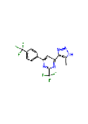 Cc1[nH]nnc1-c1cc(-c2ccc(C(F)(F)F)cc2)nc(C(F)(F)F)n1